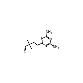 CC(C)(C=O)CCc1nc(N)nc(N)n1